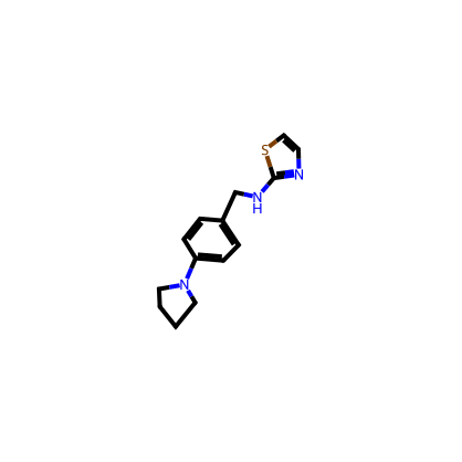 c1csc(NCc2ccc(N3CCCC3)cc2)n1